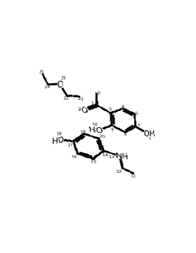 CC(=O)c1ccc(O)cc1O.CCNc1ccc(O)cc1.CCOCC